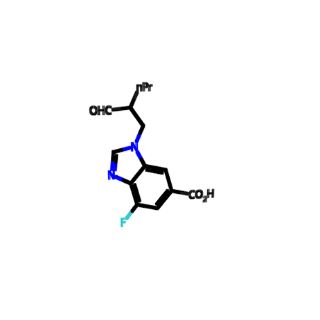 CCCC(C=O)Cn1cnc2c(F)cc(C(=O)O)cc21